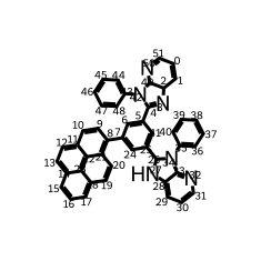 C1=CC2N=C(c3cc(-c4ccc5ccc6cccc7ccc4c5c67)cc(C4Nc5cccnc5N4c4ccccc4)c3)N(c3ccccc3)C2N=C1